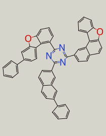 c1ccc(-c2ccc3ccc(-c4nc(-c5ccc6ccc7oc8ccccc8c7c6c5)nc(-c5cccc6oc7cc(-c8ccccc8)ccc7c56)n4)cc3c2)cc1